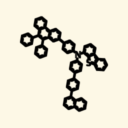 c1ccc(-c2c(-c3ccccc3)c3cc(-c4ccc(N(c5ccc(-c6ccc(-c7cccc8ccccc78)cc6)cc5)c5cccc6c5sc5ccccc56)cc4)ccc3c3ccccc23)cc1